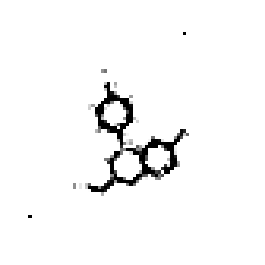 OCC1Cc2ncc(Br)cc2N(c2ccc(C(F)(F)F)cc2)C1